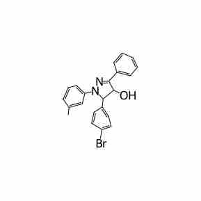 Cc1cccc(N2N=C(c3ccccc3)C(O)C2c2ccc(Br)cc2)c1